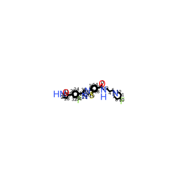 O=C(NCCCN1CCC(F)CC1)c1ccc2c(c1)sc1nc(-c3ccc(C4CCNO4)cc3F)cn12